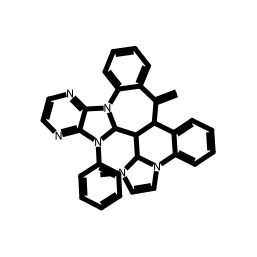 C=C1c2ccccc2N2c3nccnc3N(c3ccccc3)C2C2C1c1ccccc1N1C=CN(C)C21